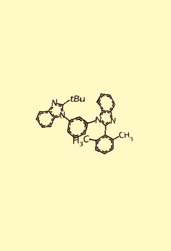 Cc1cccc(C)c1-c1nc2ccccc2n1-c1cccc(-n2c(C(C)(C)C)nc3ccccc32)c1